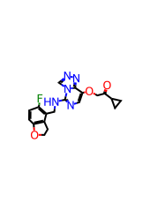 O=C(COc1cnc(NCc2c(F)ccc3c2CCO3)n2cnnc12)C1CC1